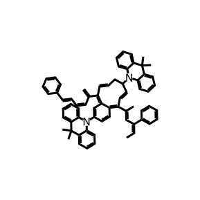 C=C(/C=C\C=C\c1ccccc1)C1=c2/cc(N3c4ccccc4C(C)(C)c4ccccc43)cc/c2=C(\C(C)=C\C(=C/C)c2ccccc2)/C=C/C(N2c3ccccc3C(C)(C)c3ccccc32)C/C=C/1